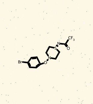 O=C(N=S1CCN(Oc2ccc(Br)cc2)CC1)C(F)(F)F